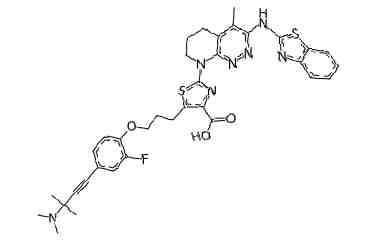 Cc1c(Nc2nc3ccccc3s2)nnc2c1CCCN2c1nc(C(=O)O)c(CCCOc2ccc(C#CC(C)(C)N(C)C)cc2F)s1